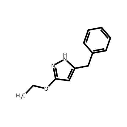 CCOc1cc(Cc2ccccc2)[nH]n1